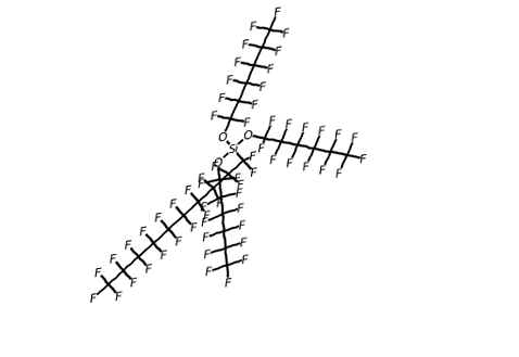 FC(F)(F)C(F)(F)C(F)(F)C(F)(F)C(F)(F)C(F)(F)O[Si](OC(F)(F)C(F)(F)C(F)(F)C(F)(F)C(F)(F)C(F)(F)F)(OC(F)(F)C(F)(F)C(F)(F)C(F)(F)C(F)(F)C(F)(F)F)C(F)(F)C(F)(F)C(F)(F)C(F)(F)C(F)(F)C(F)(F)C(F)(F)C(F)(F)C(F)(F)C(F)(F)F